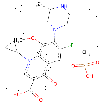 COc1c(N2CCN[C@@H](C)C2)c(F)cc2c(=O)c(C(=O)O)cn(C3CC3)c12.CS(=O)(=O)O